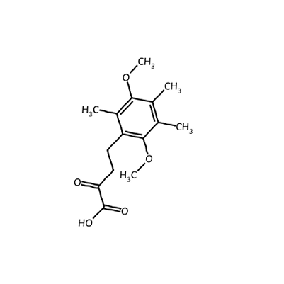 COc1c(C)c(C)c(OC)c(CCC(=O)C(=O)O)c1C